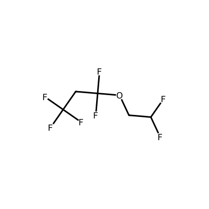 FC(F)COC(F)(F)CC(F)(F)F